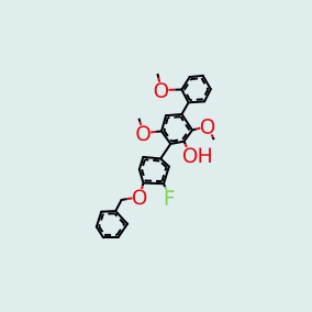 COc1ccccc1-c1cc(OC)c(-c2ccc(OCc3ccccc3)c(F)c2)c(O)c1OC